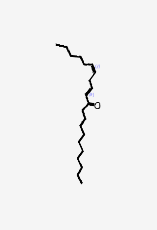 CCCCC/C=C\C/C=C/C(=O)CCCCCCCCCC